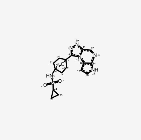 O=S(=O)(NC12CCC(c3nnc4cnc5[nH]ccc5n34)(CC1)CC2)C1CC1